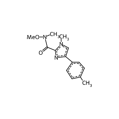 CON(C)C(=O)c1nc(-c2ccc(C)cc2)cn1C